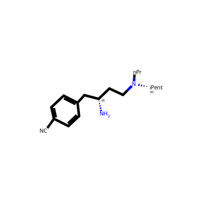 CCC[C@@H](C)N(CCC)CC[C@H](N)Cc1ccc(C#N)cc1